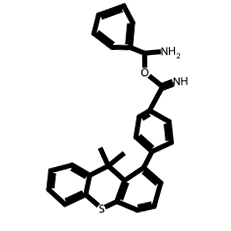 CC1(C)c2ccccc2Sc2cccc(-c3ccc(C(=N)OC(N)c4ccccc4)cc3)c21